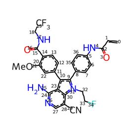 C=CC(=O)Nc1ccc(-c2c(-c3ccc(C(=O)NCC(F)(F)F)c(OC)c3)c3c(N)ncc(C#N)c3n2CCF)cc1